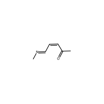 C/N=C/C=C\C(C)=O